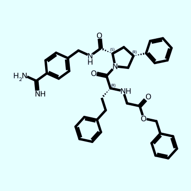 N=C(N)c1ccc(CNC(=O)[C@@H]2C[C@H](c3ccccc3)CN2C(=O)[C@@H](CCc2ccccc2)NCC(=O)OCc2ccccc2)cc1